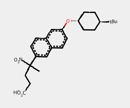 CC(CCC(=O)O)(c1ccc2cc(O[C@H]3CC[C@H](C(C)(C)C)CC3)ccc2c1)[N+](=O)[O-]